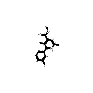 COC(=O)c1cc(C)nc(-c2cccc(C)c2)c1C